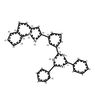 c1ccc(-c2nc(-c3ccccc3)nc(-c3cccc(-c4cc5ccc6ccccc6n5n4)c3)n2)cc1